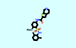 COc1ccc(NC(=O)c2cc3ccncc3s2)cc1S(=O)(=O)Nc1c(C)cccc1C